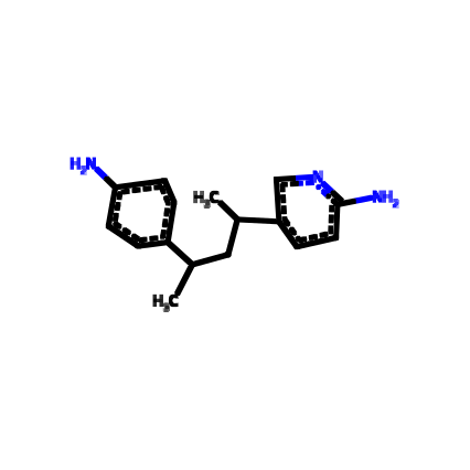 CC(CC(C)c1ccc(N)nc1)c1ccc(N)cc1